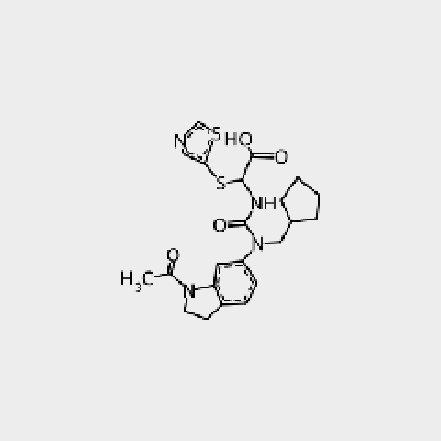 CC(=O)N1CCc2ccc(N(CC3CCCC3)C(=O)NC(Sc3cncs3)C(=O)O)cc21